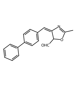 CC1=NC(=Cc2ccc(-c3ccccc3)cc2)C(C=O)O1